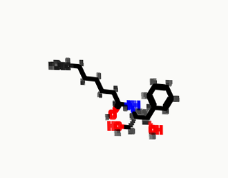 CCCCCCCCCCCCCCCC(=O)N[C@@H](CO)[C@@H](O)c1ccccc1